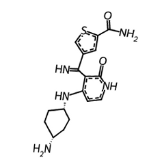 N=C(c1csc(C(N)=O)c1)c1c(N[C@H]2CC[C@@H](N)CC2)cc[nH]c1=O